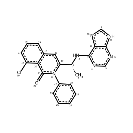 C[C@@H](Nc1ncnc2[nH]cnc12)c1cc2cccc(Cl)c2c(=O)n1-c1ccccc1